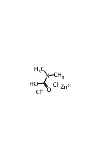 CN(C)C(=O)O.[Cl-].[Cl-].[Zn+2]